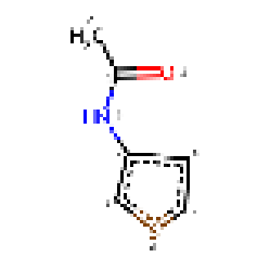 CC(=O)Nc1[c]scc1